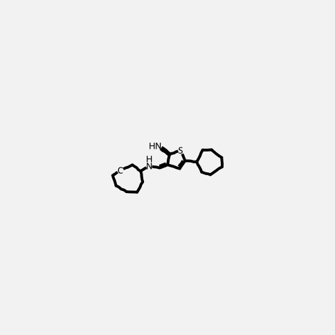 N=C1SC(C2CCCCCC2)=C/C1=C/NC1CCCCCCC1